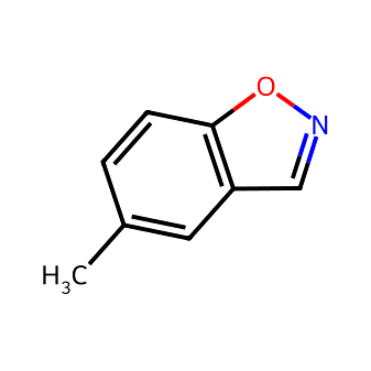 Cc1ccc2oncc2c1